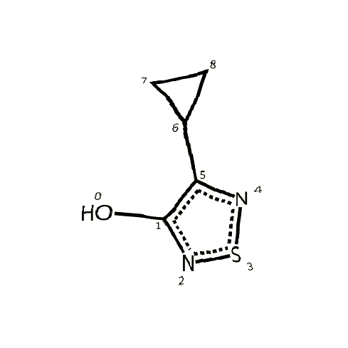 Oc1nsnc1C1CC1